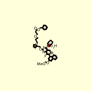 CCc1cccc2cc(OCOC)cc(-c3ncc4c(N5CC6CCC(C5)N6C(=O)O)nc(OCc5cccn5CCCOCCC(=O)OCc5ccccc5)nc4c3F)c12